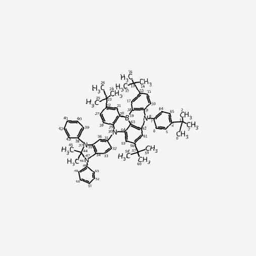 CC(C)(C)c1ccc(N2c3ccc(C(C)(C)C)cc3B3c4cc(C(C)(C)C)ccc4N(c4ccc5c(c4)N(c4ccccc4)C(C)(C)N5c4ccccc4)c4cc(C(C)(C)C)cc2c43)cc1